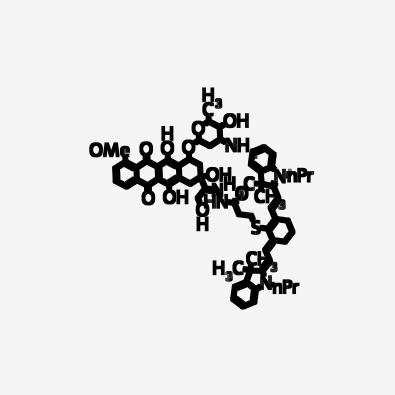 CCCN1/C(=C/C=C2\CCCC(/C=C/C3=[N+](CCC)c4ccccc4C3(C)C)=C2SCCC(=O)N/N=C(\CO)C2(O)Cc3c(O)c4c(c(O)c3C(OC3CC(N)C(O)C(C)O3)C2)C(=O)c2c(OC)cccc2C4=O)C(C)(C)c2ccccc21